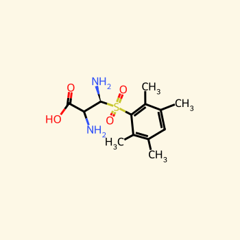 Cc1cc(C)c(C)c(S(=O)(=O)[C@H](N)C(N)C(=O)O)c1C